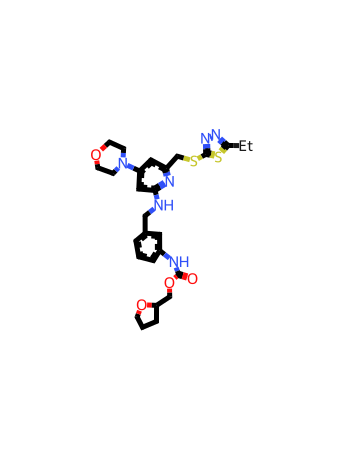 CCc1nnc(SCc2cc(N3CCOCC3)cc(NCc3cccc(NC(=O)OCC4CCCO4)c3)n2)s1